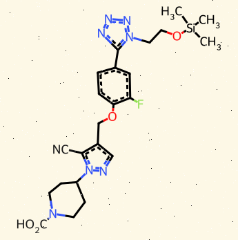 C[Si](C)(C)OCCn1nnnc1-c1ccc(OCc2cnn(C3CCN(C(=O)O)CC3)c2C#N)c(F)c1